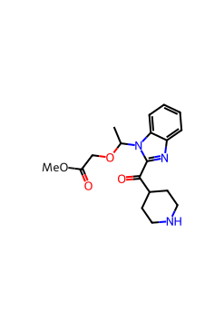 COC(=O)COC(C)n1c(C(=O)C2CCNCC2)nc2ccccc21